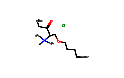 CCCCCCCCCCCCCCOCC(C(=O)CCCCCCCCCCC)[N+](C)(CCC)CCC.[Cl-]